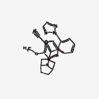 COc1c(C#N)ccnc1N1C2CCC1CN(C(=O)c1ccccc1-n1nccn1)C2